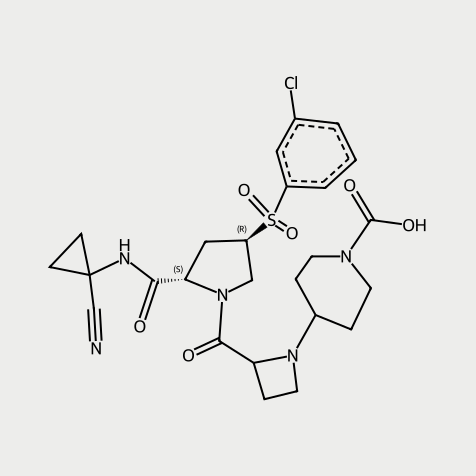 N#CC1(NC(=O)[C@@H]2C[C@@H](S(=O)(=O)c3cccc(Cl)c3)CN2C(=O)C2CCN2C2CCN(C(=O)O)CC2)CC1